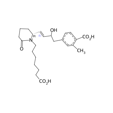 Cc1cc(CC(O)/C=C/[C@H]2CCCC(=O)N2CCCCCCC(=O)O)ccc1C(=O)O